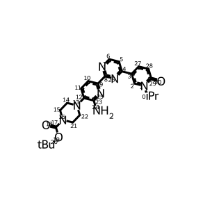 CC(C)n1cc(-c2ccnc(-c3ccc(N4CCN(C(=O)OC(C)(C)C)CC4)c(N)n3)n2)ccc1=O